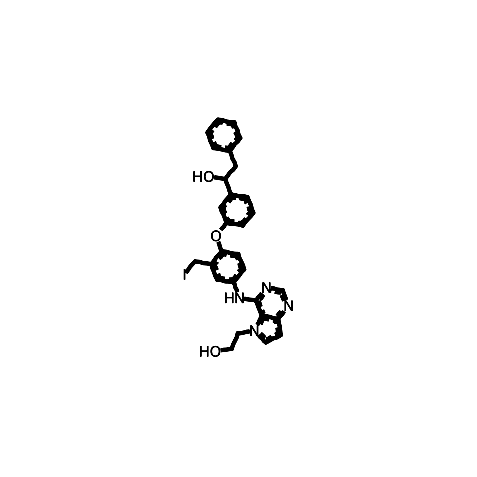 OCCn1ccc2ncnc(Nc3ccc(Oc4cccc(C(O)Cc5ccccc5)c4)c(CI)c3)c21